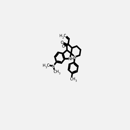 C=CC(=O)C1CCCN(c2ccc(C)cc2)C12Nc1cc(N(C)C)ccc1C2C=O